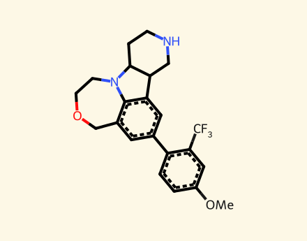 COc1ccc(-c2cc3c4c(c2)C2CNCCC2N4CCOC3)c(C(F)(F)F)c1